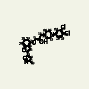 Cc1cc(-c2cc3c(OC[C@@H](O)CN4CCN(c5ccc(Cl)c(Cl)c5)CC4)cccc3o2)on1